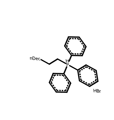 Br.CCCCCCCCCCCC[PH](c1ccccc1)(c1ccccc1)c1ccccc1